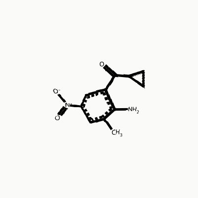 Cc1cc([N+](=O)[O-])cc(C(=O)C2CC2)c1N